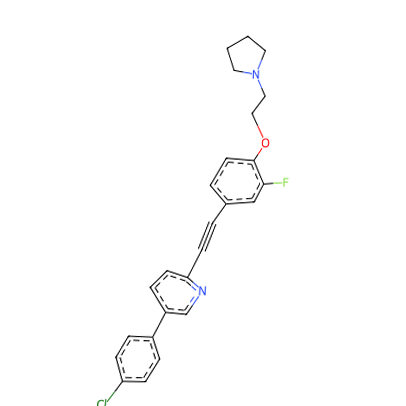 Fc1cc(C#Cc2ccc(-c3ccc(Cl)cc3)cn2)ccc1OCCN1CCCC1